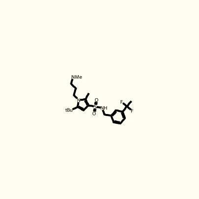 CNCCCn1c(C(C)(C)C)cc(S(=O)(=O)NCc2cccc(C(C)(F)F)c2)c1C